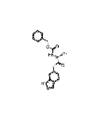 CC(C)[C@H](NC(=O)OCc1ccccc1)C(=O)Oc1ccc2cn[nH]c2c1